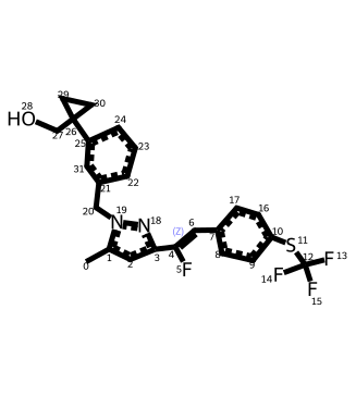 Cc1cc(/C(F)=C/c2ccc(SC(F)(F)F)cc2)nn1Cc1cccc(C2(CO)CC2)c1